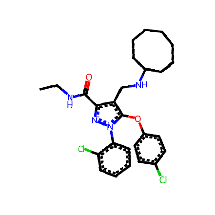 CCNC(=O)c1nn(-c2ccccc2Cl)c(Oc2ccc(Cl)cc2)c1CNC1CCCCCCC1